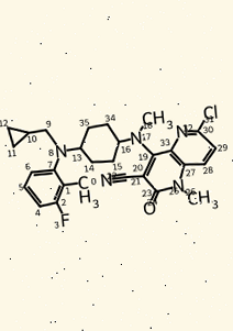 Cc1c(F)cccc1N(CC1CC1)C1CCC(N(C)c2c(C#N)c(=O)n(C)c3ccc(Cl)nc23)CC1